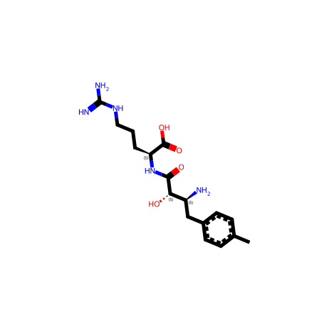 Cc1ccc(C[C@H](N)[C@H](O)C(=O)N[C@@H](CCCNC(=N)N)C(=O)O)cc1